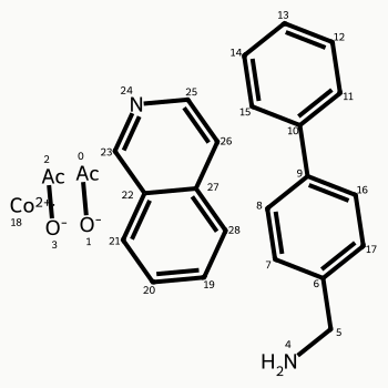 CC(=O)[O-].CC(=O)[O-].NCc1ccc(-c2ccccc2)cc1.[Co+2].c1ccc2cnccc2c1